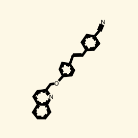 N#Cc1ccc(/C=C/c2ccc(OCc3ccc4ccccc4n3)cc2)cc1